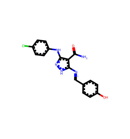 NC(=O)c1c(Nc2ccc(Cl)cc2)n[nH]c1/N=C/c1ccc(O)cc1